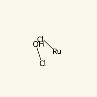 OCl.[Cl][Ru]